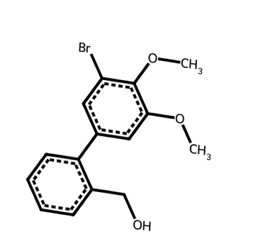 COc1cc(-c2ccccc2CO)cc(Br)c1OC